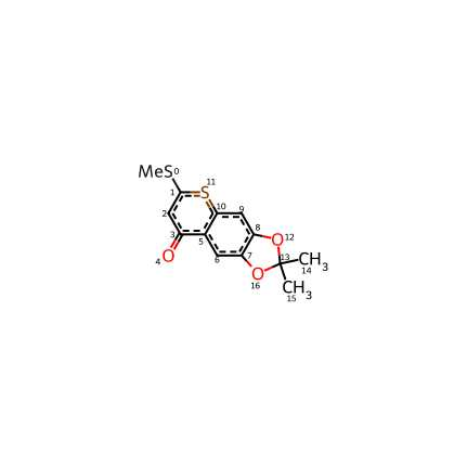 CSc1cc(=O)c2cc3c(cc2s1)OC(C)(C)O3